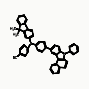 CC1(C)c2ccccc2-c2ccc(N(c3ccc(C#N)cc3)c3ccc(-c4ccc5c(c4)c4c6ccccc6ccc4n5-c4ccccc4)cc3)cc21